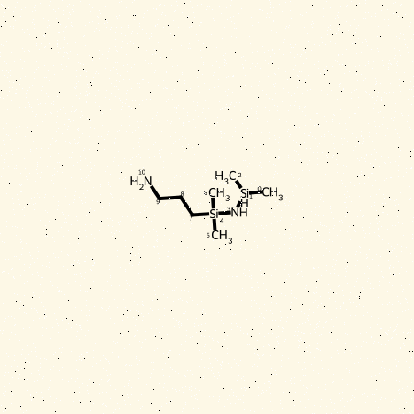 C[SiH](C)N[Si](C)(C)CCCN